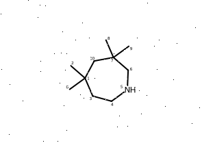 CC1(C)CCNCC(C)(C)C1